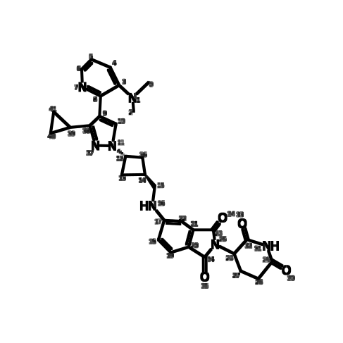 CN(C)c1cccnc1-c1cn([C@H]2C[C@H](CNc3ccc4c(c3)C(=O)N(C3CCC(=O)NC3=O)C4=O)C2)nc1C1CC1